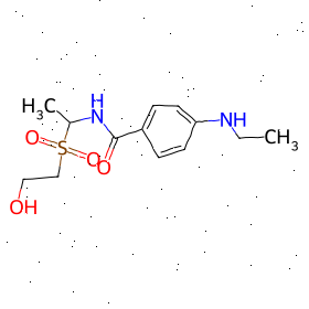 CCNc1ccc(C(=O)NC(C)S(=O)(=O)CCO)cc1